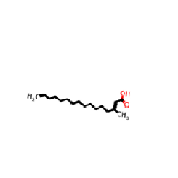 C=CCCCCCCCCCCCC(C)=CC(=O)O